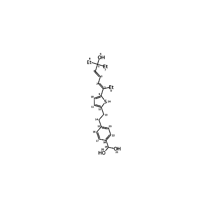 CCC(=CC=CC(O)(CC)CC)c1ccc(CCc2ccc(C(O)O)cc2)s1